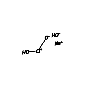 [Na+].[O-][Cl+]O.[OH-]